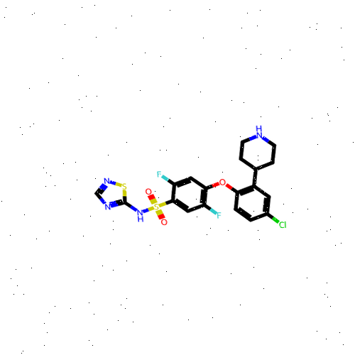 O=S(=O)(Nc1ncns1)c1cc(F)c(Oc2ccc(Cl)cc2C2CCNCC2)cc1F